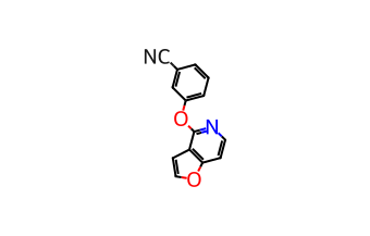 N#Cc1cccc(Oc2nccc3occc23)c1